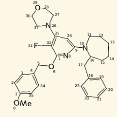 COc1ccc(COc2nc(N3CCCCCC3Cc3ccccc3)cc(N3CCOCC3)c2F)cc1